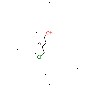 OCCCCCl.[Zr]